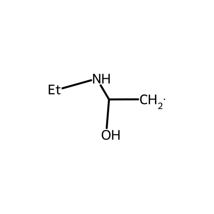 [CH2]C(O)NCC